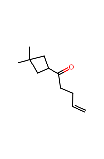 C=CCCC(=O)C1CC(C)(C)C1